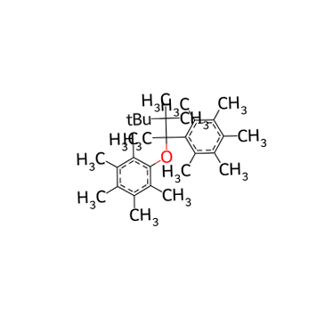 Cc1c(C)c(C)c(OC(C)(c2c(C)c(C)c(C)c(C)c2C)C(C)(C)C(C)(C)C)c(C)c1C